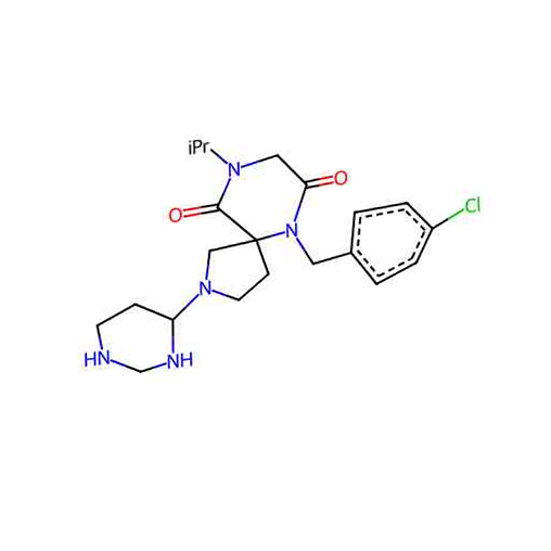 CC(C)N1CC(=O)N(Cc2ccc(Cl)cc2)C2(CCN(C3CCNCN3)C2)C1=O